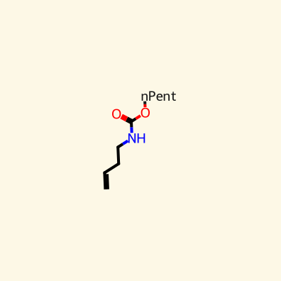 C=CCCNC(=O)OCCCCC